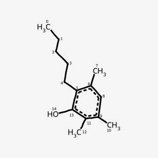 CCCCCc1c(C)cc(C)c(C)c1O